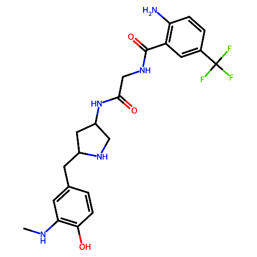 CNc1cc(CC2CC(NC(=O)CNC(=O)c3cc(C(F)(F)F)ccc3N)CN2)ccc1O